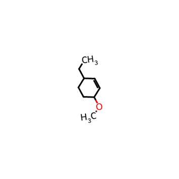 CCC1C=CC(OC)CC1